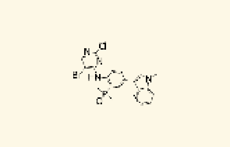 Cn1cc(-c2ccc(Nc3nc(Cl)ncc3Br)c(P(C)(C)=O)c2)c2ncccc21